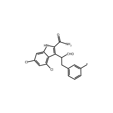 NC(=O)c1[nH]c2cc(Cl)cc(Cl)c2c1C(C=O)Cc1cccc(F)c1